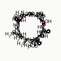 CCCC[C@H]1C(=O)N(C)[C@@H](CCCC)C(=O)N[C@@H](CN)C(=O)N[C@H](C(=O)NCC(N)=O)CSCC(=O)N[C@@H](Cc2ccc(O)cc2)C(=O)N(C)[C@@H](C)C(=O)N[C@@H](CC(N)=O)C(=O)N2CCC[C@H]2C(=O)N[C@@H](CN)C(=O)N[C@@H](CCC(=O)O)C(=O)N2C[C@H](O)C[C@H]2C(=O)N[C@@H](Cc2c[nH]c3ccccc23)C(=O)N[C@@H](CO)C(=O)N[C@@H](Cc2cn(CC(=O)O)c3ccccc23)C(=O)N1C